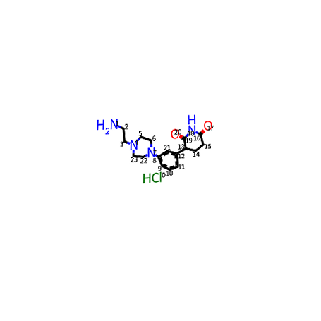 Cl.NCCN1CCN(c2cccc(C3CCC(=O)NC3=O)c2)CC1